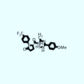 C=C(/N=C(\NS)c1ccc(OC)cc1)NC(=O)[C@@H]1CCC(=O)N1c1ccc(C(F)(F)F)cc1